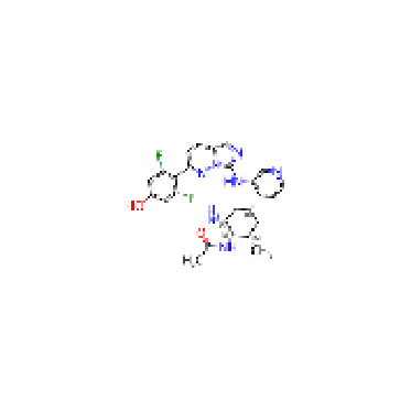 CC(=O)N[C@@H]1[C@H](N)C[C@H](c2ccncc2Nc2ncc3ccc(-c4c(F)cc(O)cc4F)nn23)C[C@@H]1C